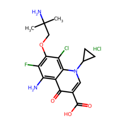 CC(C)(N)COc1c(F)c(N)c2c(=O)c(C(=O)O)cn(C3CC3)c2c1Cl.Cl